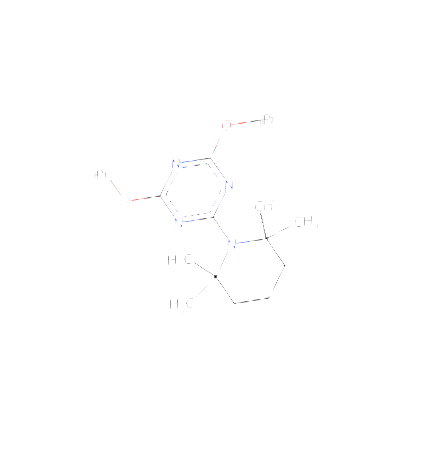 CC(C)Oc1nc(OC(C)C)nc(N2C(C)(C)CCCC2(C)C)n1